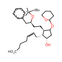 CC(C)(C)[Si](C)(C)O[C@@H](CC[C@H]1C(OC2CCCCO2)C[C@H](O)[C@@H]1C/C=C\CCCC(=O)O)Cc1ccccc1